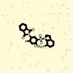 COc1cc(F)c(N2C(=O)c3ccccc3C2=O)cc1S(=O)(=O)n1ccc2cccc(F)c21